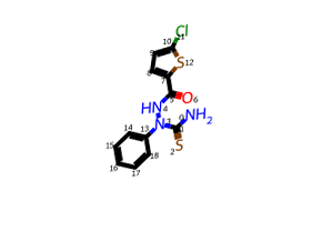 NC(=S)N(NC(=O)c1ccc(Cl)s1)c1ccccc1